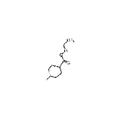 CCOOC(=O)C1CCC(I)CC1